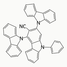 N#Cc1c(-n2c3ccccc3c3ccccc32)cc2c(c1-n1c3ccccc3c3ccccc31)c1ccccc1n2-c1ccccc1